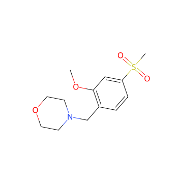 COc1cc(S(C)(=O)=O)ccc1CN1CCOCC1